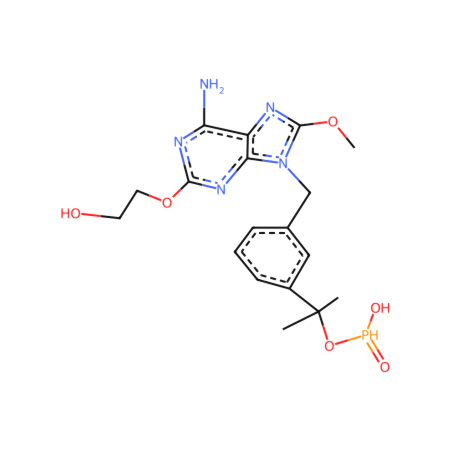 COc1nc2c(N)nc(OCCO)nc2n1Cc1cccc(C(C)(C)O[PH](=O)O)c1